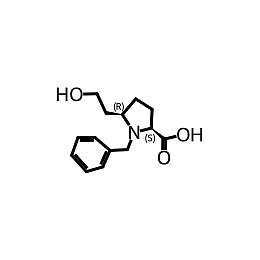 O=C(O)[C@@H]1CC[C@H](CCO)N1Cc1ccccc1